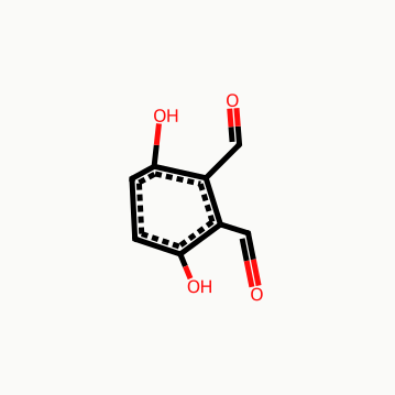 O=Cc1c(O)ccc(O)c1C=O